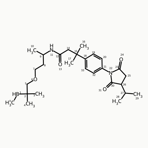 CBC(C)(C)COCCC(C)NC(=O)CC(C)(C)c1ccc(N2C(=O)CC(C(C)C)C2=O)cc1